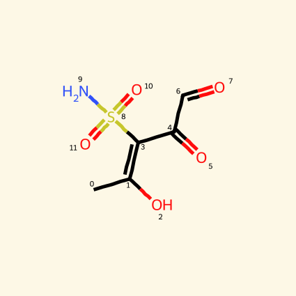 C/C(O)=C(/C(=O)C=O)S(N)(=O)=O